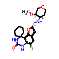 CO[C@@H]1COCC[C@H]1NCc1cc2cc(Cl)c3c(c2o1)C1(CCCCC1)NC(=O)N3